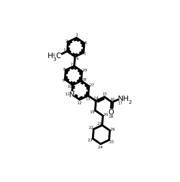 Cc1ccccc1-c1ccc2ncc(C(=CC(N)=O)CCC3CCCCC3)cc2c1